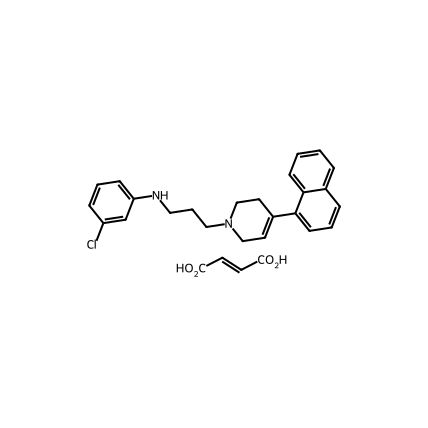 Clc1cccc(NCCCN2CC=C(c3cccc4ccccc34)CC2)c1.O=C(O)C=CC(=O)O